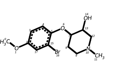 COc1ccc(OC2CCN(C)CC2O)c(Br)c1